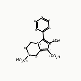 N#Cc1c(C(=O)O)c2n(c1-c1ccccc1)CCN(C(=O)O)C2